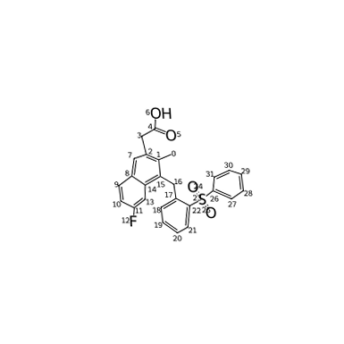 Cc1c(CC(=O)O)cc2ccc(F)cc2c1Cc1ccccc1S(=O)(=O)c1ccccc1